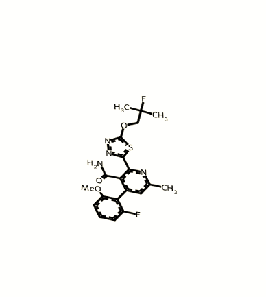 COc1cccc(F)c1-c1cc(C)nc(-c2nnc(OCC(C)(C)F)s2)c1C(N)=O